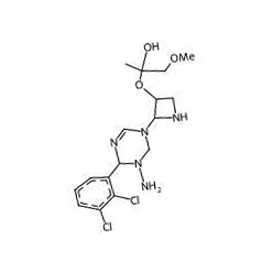 COCC(C)(O)OC1CNC1N1C=NC(c2cccc(Cl)c2Cl)N(N)C1